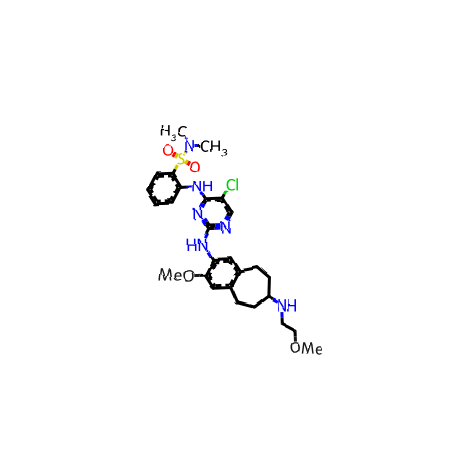 COCCNC1CCc2cc(Nc3ncc(Cl)c(Nc4ccccc4S(=O)(=O)N(C)C)n3)c(OC)cc2CC1